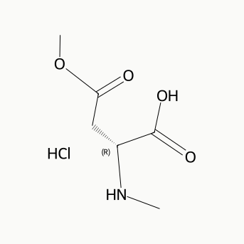 CN[C@H](CC(=O)OC)C(=O)O.Cl